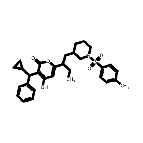 CCC(CC1CCCN(S(=O)(=O)c2ccc(C)cc2)C1)c1cc(O)c(C(c2ccccc2)C2CC2)c(=O)o1